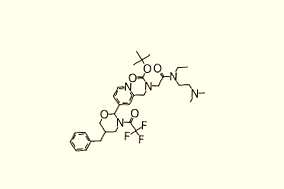 CCN(CCN(C)C)C(=O)CN(Cc1cc(C2OCC(Cc3ccccc3)CN2C(=O)C(F)(F)F)ccn1)C(=O)OC(C)(C)C